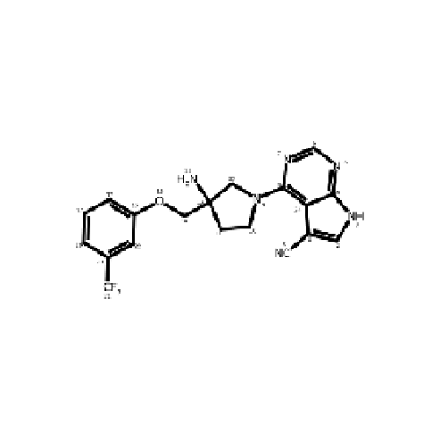 N#Cc1c[nH]c2ncnc(N3CCC(N)(COc4cccc(C(F)(F)F)c4)C3)c12